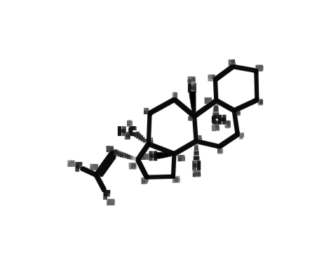 C[C@]12CC[C@H]3[C@@H](CCC4CCCC[C@@]43C)[C@@H]1CC[C@@H]2C=C(F)F